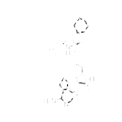 CCOC(=O)C(C)(C)NP(=O)(OC[C@H]1O[C@@](C=NC)(c2ccc3c(N)ncnn23)[C@H](O)[C@@H]1O)Oc1ccccc1